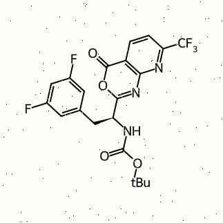 CC(C)(C)OC(=O)N[C@@H](Cc1cc(F)cc(F)c1)c1nc2nc(C(F)(F)F)ccc2c(=O)o1